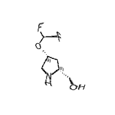 OC[C@H]1C[C@@H](OC(F)F)CN1